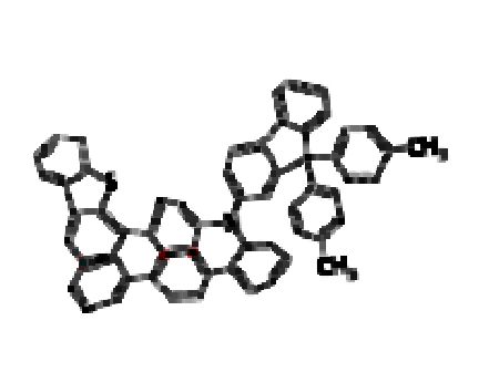 Cc1ccc(C2(c3ccc(C)cc3)c3ccccc3-c3ccc(N(c4ccc(-c5cccc6c5sc5ccccc56)cc4)c4ccccc4-c4ccc(-c5ccccc5)cc4)cc32)cc1